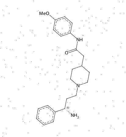 COc1ccc(NC(=O)CC2CCN(CC[C@H](N)c3ccccc3)CC2)cc1